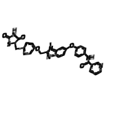 Cn1c(COc2ccc(CC3SC(=O)NC3=O)cc2)nc2ccc(Oc3ccc(NC(=O)c4cccnc4)cc3)cc21